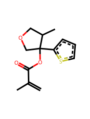 C=C(C)C(=O)OC1(c2cccs2)COCC1C